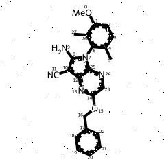 COc1ccc(C)c(-n2c(N)c(C#N)c3nc(OCc4ccccc4)cnc32)c1C